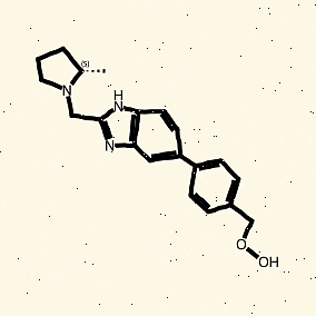 C[C@H]1CCCN1Cc1nc2cc(-c3ccc(COO)cc3)ccc2[nH]1